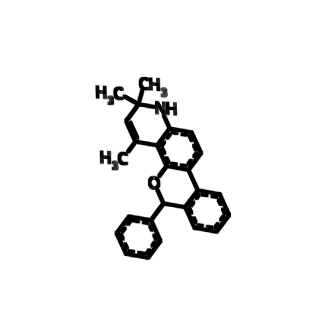 CC1=CC(C)(C)Nc2ccc3c(c21)OC(c1ccccc1)c1ccccc1-3